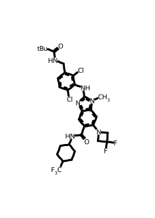 Cn1c(Nc2c(Cl)ccc(CNC(=O)C(C)(C)C)c2Cl)nc2cc(C(=O)NC3CCC(C(F)(F)F)CC3)c(N3CC(F)(F)C3)cc21